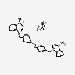 Nc1cc[n+](Cc2ccc(C=Cc3ccc(C[n+]4ccc(N)c5ccccc54)cc3)cc2)c2ccccc12.O.O.[Br-].[Br-]